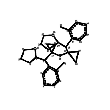 Cc1ccccc1C(C1CCCO1)C1(SC2(C(c3ccccc3C)C3CCCO3)CC2)CC1